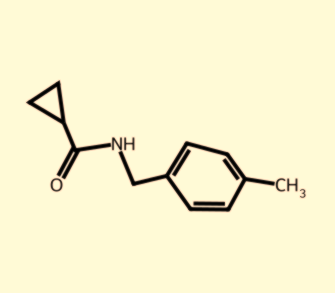 Cc1ccc(CNC(=O)C2CC2)cc1